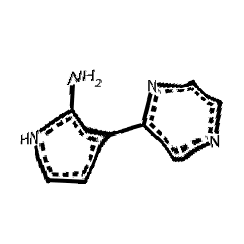 Nc1[nH]ccc1-c1cnccn1